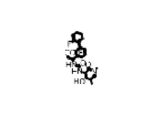 CCOC(=O)CC(NC(=O)Nc1c(O)c(C)cn(C)c1=O)c1cccc(-c2ccccc2F)c1